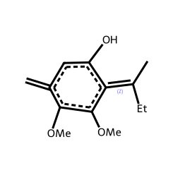 C=c1cc(O)/c(=C(\C)CC)c(OC)c1OC